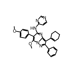 COc1ccc(-c2c(Nc3ccncn3)nc3c(C4=CCCCC4)c(-c4ccccc4)nn3c2OC)cc1